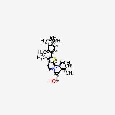 C/C=C1\C(=C(C)C)C2C(CO)C2[n+]2ccc3c(C)c(-c4ccc([Si](C)(C)C)cc4C)sc3c21